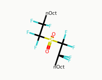 CCCCCCCCC(F)(F)C(F)(F)S(=O)(=O)C(F)(F)C(F)(F)CCCCCCCC